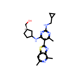 Cc1cc2sc(-c3c(C)nc(NCC4CC4)nc3NC3CC[C@@H](CO)C3)nc2c(C)n1